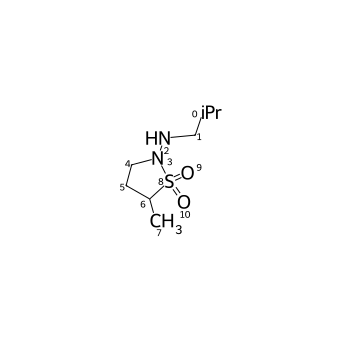 CC(C)CNN1CCC(C)S1(=O)=O